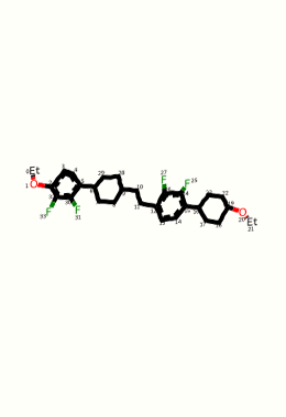 CCOc1ccc(C2CCC(CCc3ccc(C4CCC(OCC)CC4)c(F)c3F)CC2)c(F)c1F